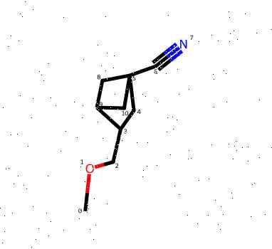 COCC1CC2(C#N)CC1C2